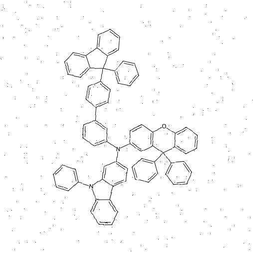 c1ccc(-n2c3ccccc3c3ccc(N(c4cccc(-c5ccc(C6(c7ccccc7)c7ccccc7-c7ccccc76)cc5)c4)c4ccc5c(c4)C(c4ccccc4)(c4ccccc4)c4ccccc4O5)cc32)cc1